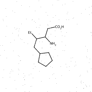 CCC(CC1CCCC1)C(N)CC(=O)O